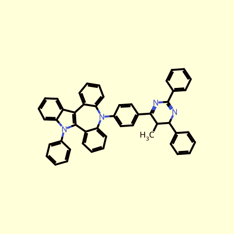 CC1C(c2ccc(N3c4ccccc4-c4c(n(-c5ccccc5)c5ccccc45)-c4ccccc43)cc2)=NC(c2ccccc2)=NC1c1ccccc1